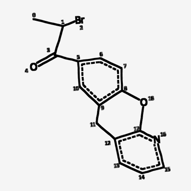 CC(Br)C(=O)c1ccc2c(c1)Cc1cccnc1O2